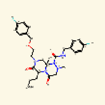 CSCC[C@H]1C(=O)N(CCOCc2ccc(F)cc2)C[C@H]2N1C(=O)CN(C)N2C(=O)NCc1ccc(F)cc1